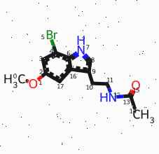 COc1cc(Br)c2[nH]cc(CCNC(C)=O)c2c1